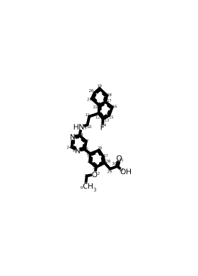 CCOc1cc(-c2cc(NCCc3c(F)ccc4ccccc34)ncn2)ccc1CC(=O)O